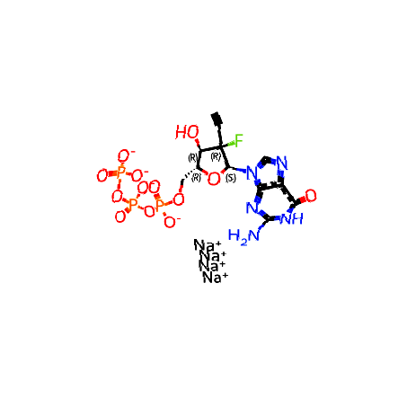 C#C[C@@]1(F)[C@H](O)[C@@H](COP(=O)([O-])OP(=O)([O-])OP(=O)([O-])[O-])O[C@@H]1n1cnc2c(=O)[nH]c(N)nc21.[Na+].[Na+].[Na+].[Na+]